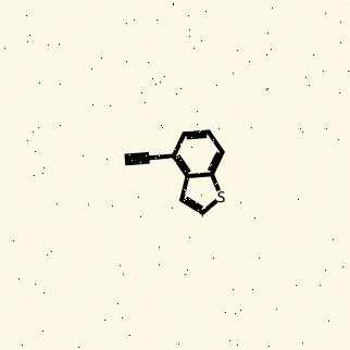 C#Cc1cccc2s[c]cc12